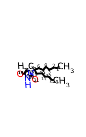 CCCCCCCC(C)(CCCCCC)N1CC(=O)NC1=O